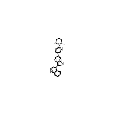 C[C@@H]1CCC[C@H](C)N1c1ccc(-c2cnc3c(-c4ccnc5ccccc45)cnn3c2)cn1